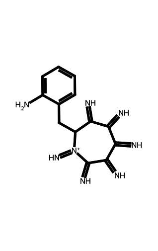 N=C1C(=N)C(=N)C(Cc2ccccc2N)[N+](=N)C(=N)C1=N